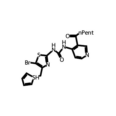 CCCCCC(=O)c1cnccc1NC(=O)Nc1nc(C[SH]2C=CC=C2)c(Br)s1